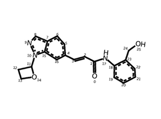 O=C(/C=C/c1ccc2cnn(C3CCO3)c2c1)Nc1ccccc1CO